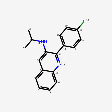 CC(C)Nc1cc2ccccc2nc1-c1ccc(F)cc1